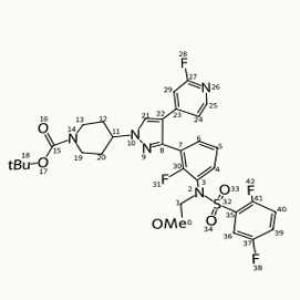 COCN(c1cccc(-c2nn(C3CCN(C(=O)OC(C)(C)C)CC3)cc2-c2ccnc(F)c2)c1F)S(=O)(=O)c1cc(F)ccc1F